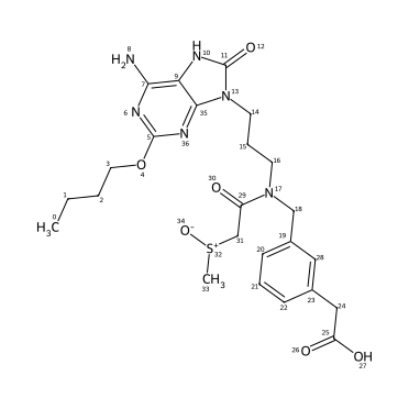 CCCCOc1nc(N)c2[nH]c(=O)n(CCCN(Cc3cccc(CC(=O)O)c3)C(=O)C[S+](C)[O-])c2n1